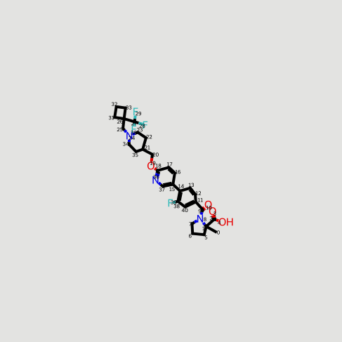 CC1(C(=O)O)CCCN1C(=O)c1ccc(-c2ccc(OCC3CCN(CC4(C(F)(F)F)CCC4)CC3)nc2)c(F)c1